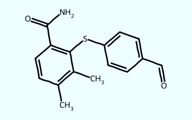 Cc1ccc(C(N)=O)c(Sc2ccc(C=O)cc2)c1C